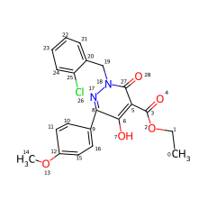 CCOC(=O)c1c(O)c(-c2ccc(OC)cc2)nn(Cc2ccccc2Cl)c1=O